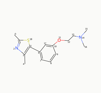 Cc1nc(C)c(-c2cccc(OCCN(C)C)c2)s1